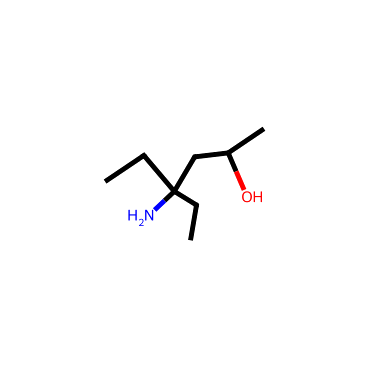 CCC(N)(CC)CC(C)O